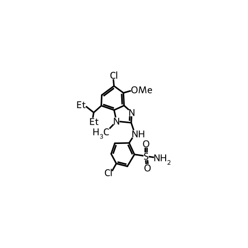 CCC(CC)c1cc(Cl)c(OC)c2nc(Nc3ccc(Cl)cc3S(N)(=O)=O)n(C)c12